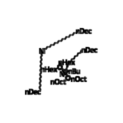 CCCCCCCCCCCCCCCCCCCC#CC1=C(c2cc(CCCCCC)cc(CCCCCC)c2)[N+](=[N-])C(c2cc(CCCCCCCC)cc(CCCCCCCC)c2)=C1CCCC.CCCCCCCCCCCCCCCCCCCCCCCCCCC[CH2][Ni][CH2]CCCCCCCCCCCCCCCCCCCCCCCCCCC